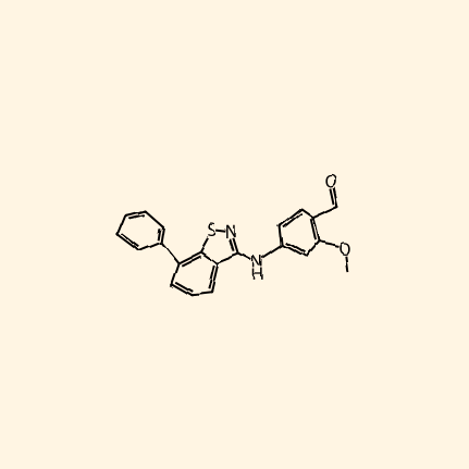 COc1cc(Nc2nsc3c(-c4ccccc4)cccc23)ccc1C=O